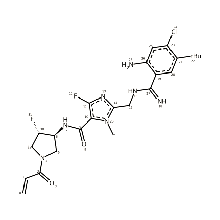 C=CC(=O)N1C[C@H](NC(=O)c2c(F)nc(CNC(=N)c3cc(C(C)(C)C)c(Cl)cc3N)n2C)[C@@H](F)C1